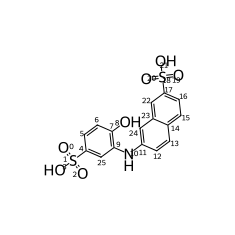 O=S(=O)(O)c1ccc(O)c(Nc2ccc3ccc(S(=O)(=O)O)cc3c2)c1